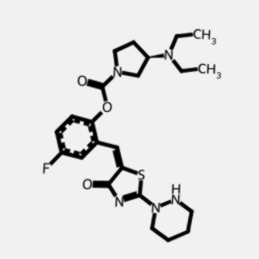 CCN(CC)[C@@H]1CCN(C(=O)Oc2ccc(F)cc2/C=C2/SC(N3CCCCN3)=NC2=O)C1